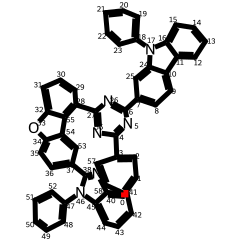 c1ccc(-c2nc(-c3ccc4c5ccccc5n(-c5ccccc5)c4c3)nc(-c3cccc4oc5ccc(-c6nc7ccccc7n6-c6ccccc6)cc5c34)n2)cc1